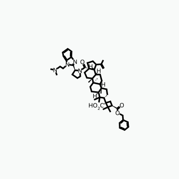 C=C(C)C1CC[C@]2(C(=O)N3CCC[C@H]3c3nc4ccccc4n3CCN(C)C)CC[C@]3(C)[C@H](CC[C@@H]4[C@]5(C)CC[C@H]([C@@]6(C(=O)O)C[C@@H](C(=O)OCc7ccccc7)C6(C)C)C(C)(C)[C@H]5CC[C@]43C)[C@@H]12